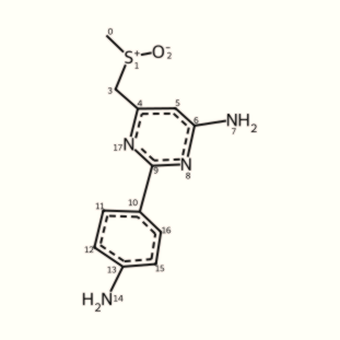 C[S+]([O-])Cc1cc(N)nc(-c2ccc(N)cc2)n1